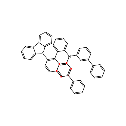 c1ccc(-c2cccc(N(c3cccc(-c4ccccc4)c3)c3ccccc3-c3c(-n4c5ccccc5c5ccccc54)ccc4ccccc34)c2)cc1